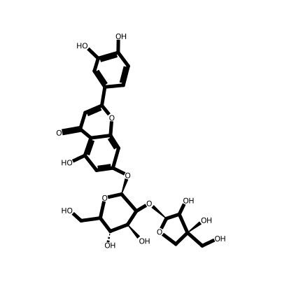 O=c1cc(-c2ccc(O)c(O)c2)oc2cc(O[C@@H]3OC(CO)[C@@H](O)[C@H](O)C3O[C@@H]3OC[C@@](O)(CO)C3O)cc(O)c12